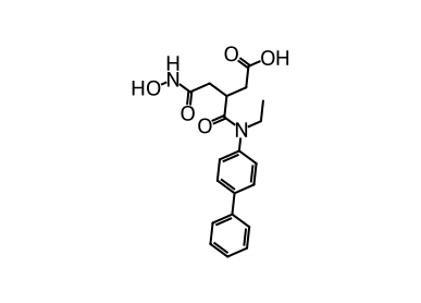 CCN(C(=O)C(CC(=O)O)CC(=O)NO)c1ccc(-c2ccccc2)cc1